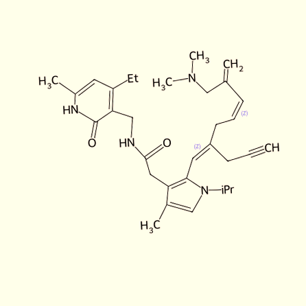 C#CC/C(=C\c1c(CC(=O)NCc2c(CC)cc(C)[nH]c2=O)c(C)cn1C(C)C)C/C=C\C(=C)CN(C)C